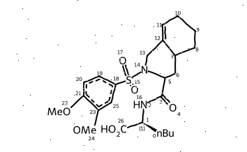 CCCC[C@H](NC(=O)C1CC2CCCC=C2CN1S(=O)(=O)c1ccc(OC)c(OC)c1)C(=O)O